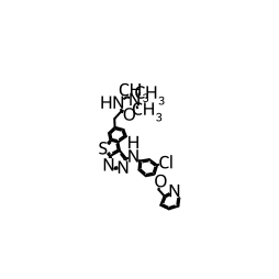 CC(NC(=O)Cc1ccc2c(c1)sc1ncnc(Nc3ccc(OCc4ccccn4)c(Cl)c3)c12)N(C)C